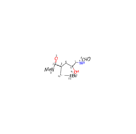 CNC(=O)C(CC(O)CNC=O)CC(C)(C)C